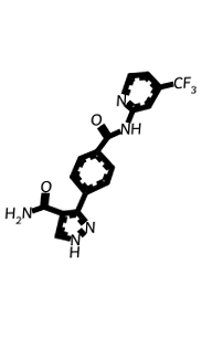 NC(=O)c1c[nH]nc1-c1ccc(C(=O)Nc2cc(C(F)(F)F)ccn2)cc1